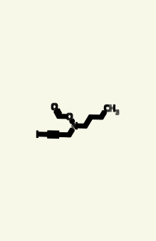 CCCCN(CC#CI)OC=O